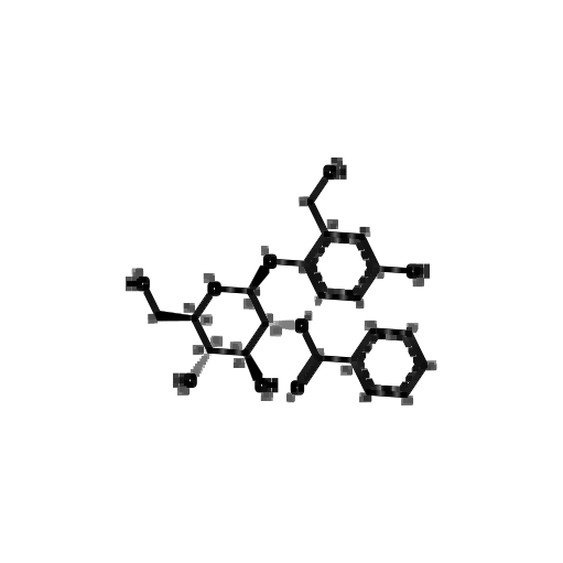 O=C(O[C@H]1[C@H](Oc2ccc(O)cc2CO)O[C@H](CO)[C@@H](O)[C@@H]1O)c1ccccc1